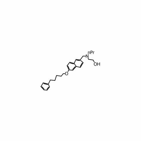 CCCN(CCO)Cc1ccc2cc(OCCCCCc3ccccc3)ccc2c1